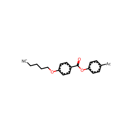 CC(=O)c1ccc(OC(=O)c2ccc(OCCCCC#N)cc2)cc1